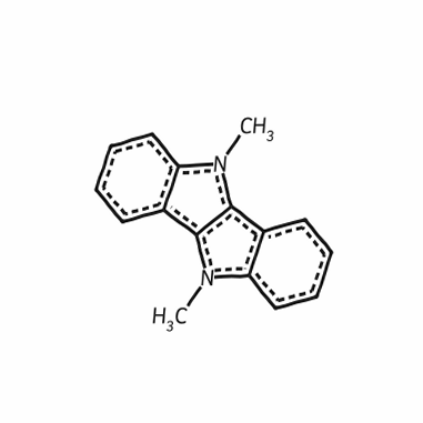 Cn1c2ccccc2c2c1c1ccccc1n2C